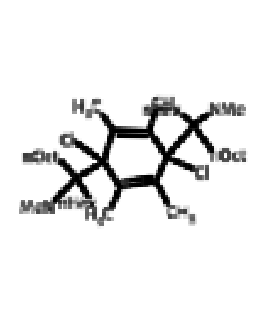 CCCCCCCCC(CCCCCC)(NC)C1(Cl)C(C)=C(C)C(Cl)(C(CCCCCC)(CCCCCCCC)NC)C(C)=C1C